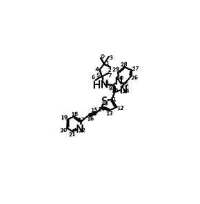 CC(C)(C)CC(C)(C)Nc1c(-c2ccc(C#Cc3ccccn3)s2)nc2ccccn12